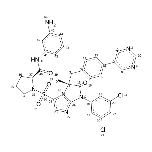 C[C@@]1(Cc2ccc(-c3cncnc3)cc2)C(=O)N(c2cc(Cl)cc(Cl)c2)c2ncc(S(=O)(=O)N3CCC[C@H]3C(=O)Nc3cccc(N)c3)n21